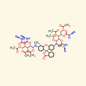 CC(=O)OCC(OC(=O)NC#N)C(OC(C)=O)C(OC(=O)NC#N)C(OC(C)=O)N(C)c1ccc2c(c1)Oc1cc(N(C)C(OC(C)=O)C(OC(=O)NC#N)C(OC(C)=O)C(COC(C)=O)OC(=O)NC#N)ccc1C21OC(=O)c2ccccc21